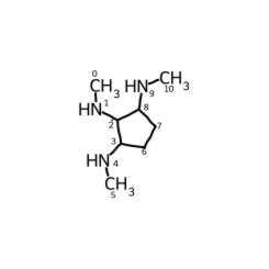 CN[C]1C(NC)CCC1NC